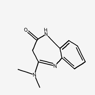 CN(C)C1=Nc2ccccc2NC(=O)C1